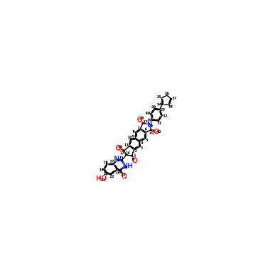 O=C1c2cc3cc4c(cc3cc2C(=O)C1c1nc2ccc(O)cc2c(=O)[nH]1)C(=O)N(c1ccc(C2=CCC=C2)cc1)C4=O